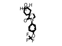 O=C1N(c2ccc(OC(F)(F)F)cc2)CC[C@@]12CC[C@H]1O[C@H]1C2